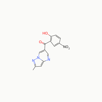 Cc1cc2ncc(C(=O)c3cc([N+](=O)[O-])ccc3O)cn2n1